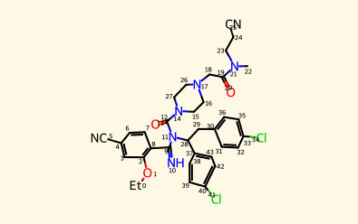 CCOc1cc(C#N)ccc1C(=N)N(C(=O)N1CCN(CC(=O)N(C)CCC#N)CC1)C(Cc1ccc(Cl)cc1)c1ccc(Cl)cc1